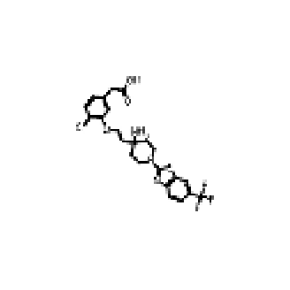 NC1(CCOc2cc(CC(=O)O)ccc2Cl)CCN(c2nc3ccc(C(F)(F)F)cc3s2)CC1